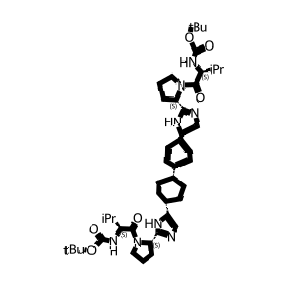 CC(C)[C@H](NC(=O)OC(C)(C)C)C(=O)N1CCC[C@H]1c1ncc(-c2ccc([C@H]3CC[C@@H](c4cnc([C@@H]5CCCN5C(=O)[C@@H](NC(=O)OC(C)(C)C)C(C)C)[nH]4)CC3)cc2)[nH]1